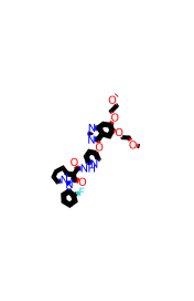 COCCOc1cc2ncnc(Oc3ccc(NC(=O)c4c5n(n(-c6ccccc6F)c4=O)CCCC5)nc3)c2cc1OCCOC